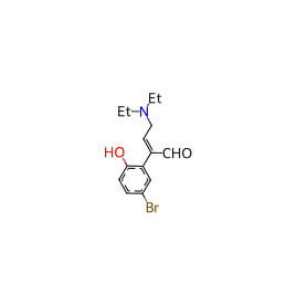 CCN(CC)CC=C(C=O)c1cc(Br)ccc1O